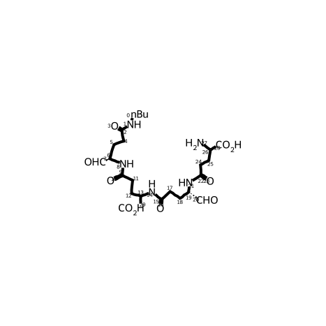 CCCCNC(=O)CC[C@@H](C=O)NC(=O)CCC(NC(=O)CC[C@@H](C=O)NC(=O)CCC(N)C(=O)O)C(=O)O